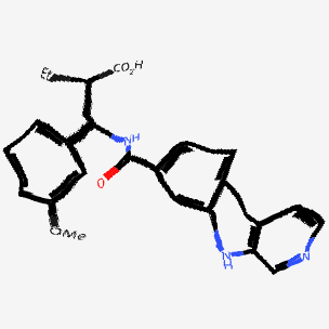 CCC(C(=O)O)C(NC(=O)c1ccc2c(c1)[nH]c1cnccc12)c1cccc(OC)c1